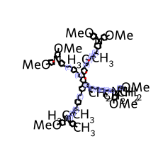 C=CC(/C=C/C=C/C=C(C=C)/C=C/c1cc(-c2ccc(/C=C/C(C)=C/C=C(C)/C=C/c3ccc(N(C4=CCC(OC)C=C4)c4ccc(OC)cc4)cc3)cc2)c(/C=C/c2ccc(/C=C/c3ccc(N(c4ccc(OC)cc4)c4ccc(OC)cc4)cc3)cc2)cc1C1=CC=C(/C=C/c2ccc(/C=C/C(C)=C/C=C(\C)N(c3ccc(C)cc3)C3C=CC(OC)=CC3)cc2)CC1)=C\C=C\N(C(=C)/C=C\C(=C)OC)c1ccc(OC)cc1